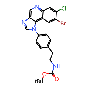 CC(C)(C)OC(=O)NCCc1ccc(-n2cnc3cnc4cc(Cl)c(Br)cc4c32)cc1